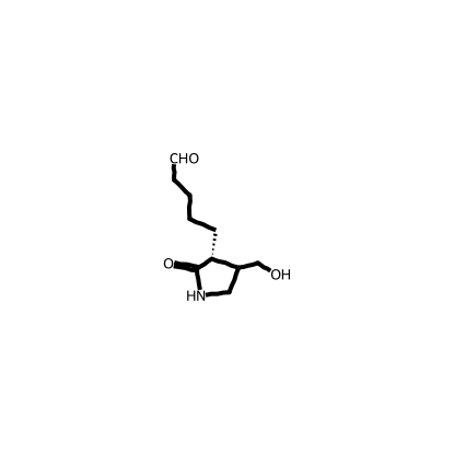 O=CCCCC[C@H]1C(=O)NCC1CO